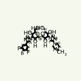 CN1CCN(c2cn(C3C(O)[C@@H](CO)O[C@@H](SC4OC(CO)C(O)C(n5cc(-c6cc(F)c(F)c(F)c6)nn5)C4O)C3O)nn2)CC1